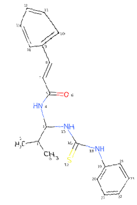 CC(C)C(NC(=O)C=Cc1ccccc1)NC(=S)Nc1ccccc1